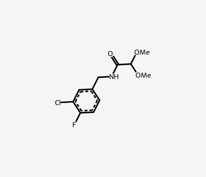 COC(OC)C(=O)NCc1ccc(F)c(Cl)c1